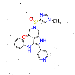 Cn1cnc([S+]([O-])N2CC(=O)c3c([nH]c(-c4ccncc4)c3Nc3ccccc3)C2)c1